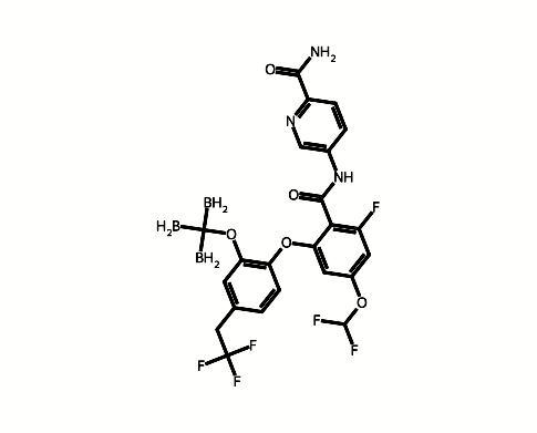 BC(B)(B)Oc1cc(CC(F)(F)F)ccc1Oc1cc(OC(F)F)cc(F)c1C(=O)Nc1ccc(C(N)=O)nc1